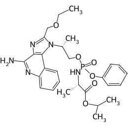 CCOCc1nc2c(N)nc3ccccc3c2n1[C@H](C)COP(=O)(N[C@@H](C)C(=O)OC(C)C)Oc1ccccc1